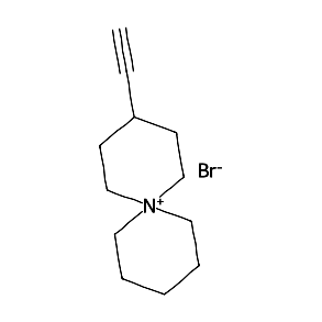 C#CC1CC[N+]2(CCCCC2)CC1.[Br-]